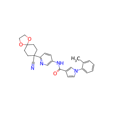 Cc1ccccc1-n1ccc(C(=O)Nc2ccc(C3(C#N)CCC4(CC3)OCCO4)nc2)c1